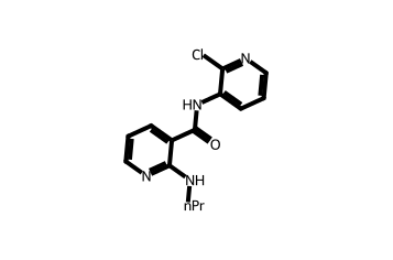 CCCNc1ncccc1C(=O)Nc1cccnc1Cl